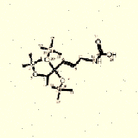 CC(O[Si](C)(C)C)C(C=CCNC(=O)O)(O[Si](C)(C)C)O[Si](C)(C)C